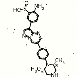 C[C@@H]1CNC[C@H](C)N1c1ccc(-c2cnc3c(-c4ccc(N)c(S(=O)O)c4)cnn3c2)cc1